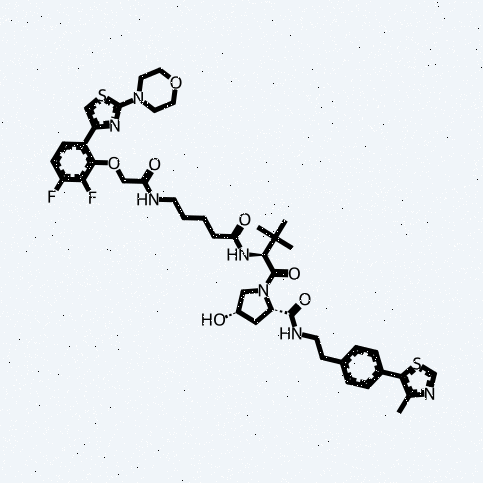 Cc1ncsc1-c1ccc(CCNC(=O)[C@@H]2C[C@H](O)CN2C(=O)[C@@H](NC(=O)CCCCNC(=O)COc2c(-c3csc(N4CCOCC4)n3)ccc(F)c2F)C(C)(C)C)cc1